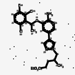 CCOC(=O)CCC(C)Cn1cc(-c2cnc(N)c(OC(C)c3c(Cl)ccc(F)c3Cl)c2)cn1